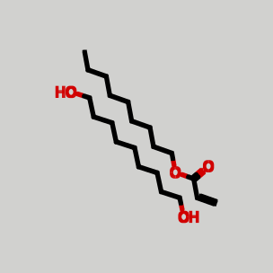 C=CC(=O)OCCCCCCCCC.OCCCCCCCCCO